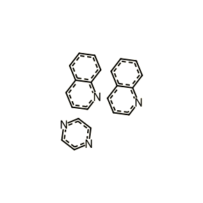 c1ccc2ncccc2c1.c1ccc2ncccc2c1.c1cnccn1